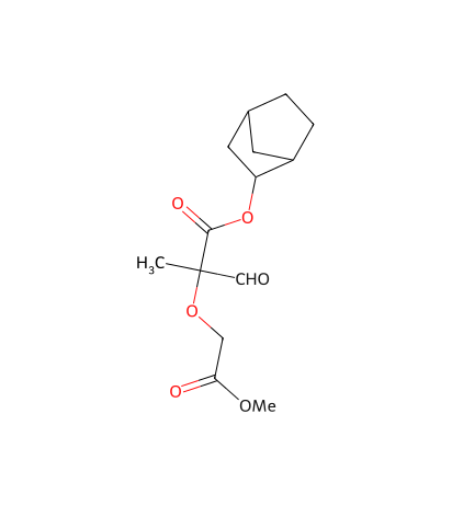 COC(=O)COC(C)(C=O)C(=O)OC1CC2CCC1C2